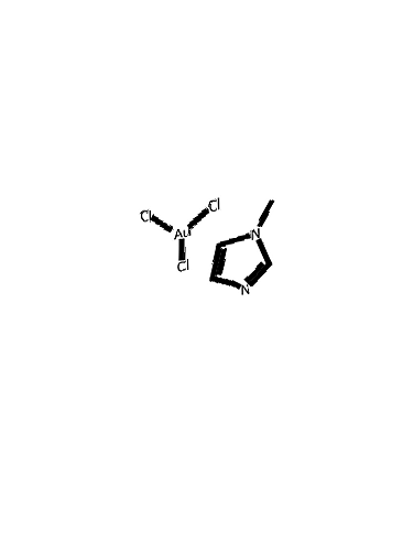 Cn1ccnc1.[Cl][Au]([Cl])[Cl]